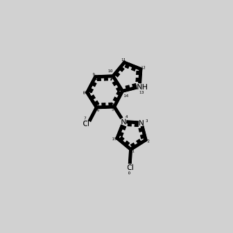 Clc1cnn(-c2c(Cl)ccc3cc[nH]c23)c1